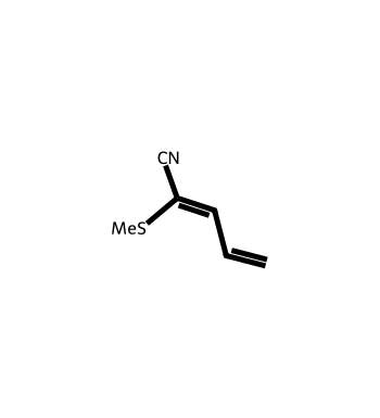 C=CC=C(C#N)SC